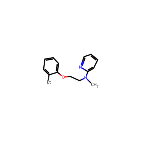 CCc1ccccc1OCCN(C)c1ccccn1